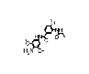 CCC(=O)Nc1cc(C(=O)Nc2cc(OC)c(N)c(OC)c2)ccc1OC